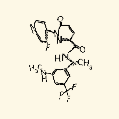 CNc1cc([C@@H](C)NC(=O)c2ccc(=O)n(-c3ccncc3F)n2)cc(C(F)(F)F)c1